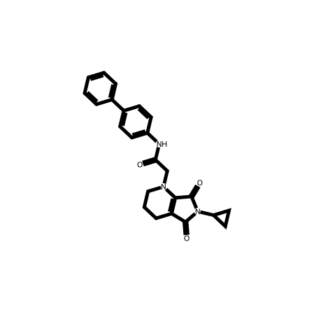 O=C(CN1CCCC2=C1C(=O)N(C1CC1)C2=O)Nc1ccc(-c2ccccc2)cc1